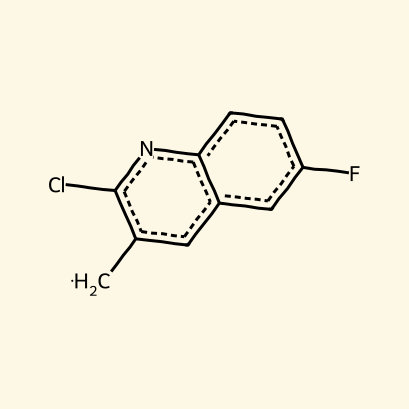 [CH2]c1cc2cc(F)ccc2nc1Cl